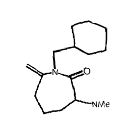 C=C1CCCC(NC)C(=O)N1CC1CCCCC1